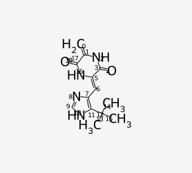 C=c1[nH]c(=O)c(=Cc2nc[nH]c2C(C)(C)C)[nH]c1=O